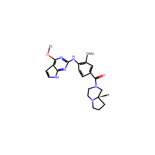 CCOc1nc(Nc2ccc(C(=O)N3CCN4CCC[C@H]4C3)cc2OC)nc2[nH]ccc12